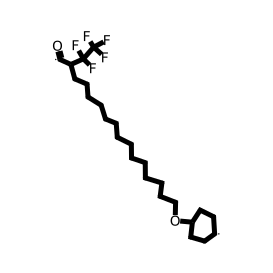 O=[C]C(CCCCCCCCCCCCCCOC1CC[CH]CC1)C(F)(F)C(F)(F)F